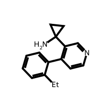 CCc1ccccc1-c1ccncc1C1(N)CC1